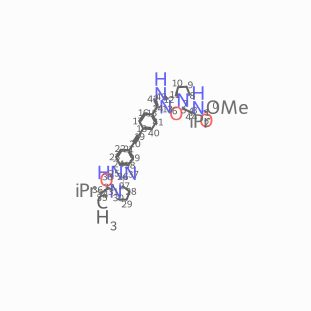 COC(=O)N[C@H](C(=O)N1CCC[C@H]1c1nc(-c2ccc(C#Cc3ccc4[nH]c([C@@H]5CCCN5C(=O)[C@H](C)C(C)C)nc4c3)cc2)c[nH]1)C(C)C